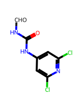 O=CNC(=O)Nc1cc(Cl)nc(Cl)c1